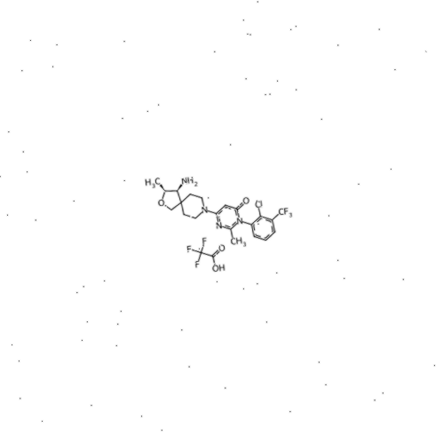 Cc1nc(N2CCC3(CC2)CO[C@@H](C)[C@H]3N)cc(=O)n1-c1cccc(C(F)(F)F)c1Cl.O=C(O)C(F)(F)F